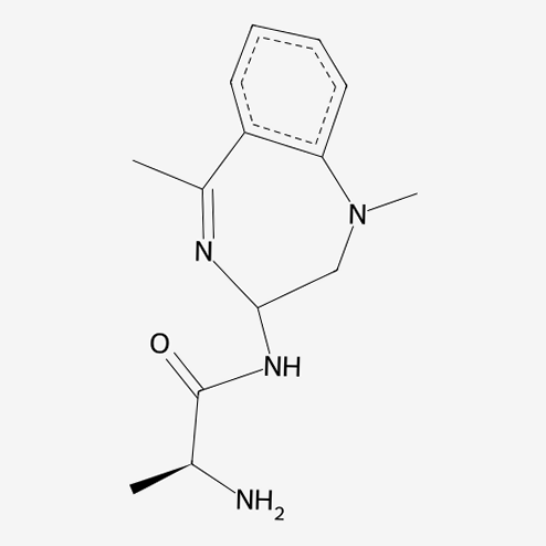 CC1=NC(NC(=O)[C@H](C)N)CN(C)c2ccccc21